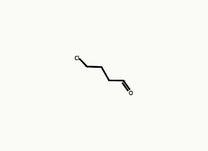 O=[C]CC[CH]Cl